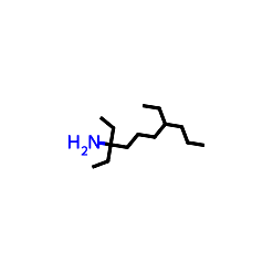 CCCC(CC)CCCC(N)(CC)CC